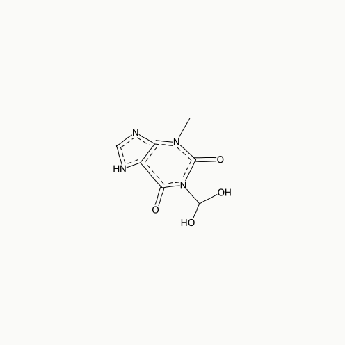 Cn1c(=O)n(C(O)O)c(=O)c2[nH]cnc21